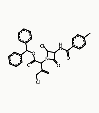 C=C(CCl)C(C(=O)OC(c1ccccc1)c1ccccc1)N1C(=O)C(NC(=O)c2ccc(C)cc2)C1Cl